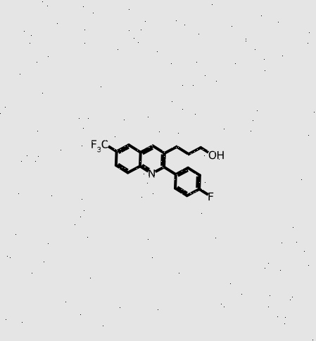 OCCCc1cc2cc(C(F)(F)F)ccc2nc1-c1ccc(F)cc1